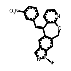 CC(C)n1ncc2cc3c(cc21)COc1ncccc1/C3=C\c1cccc([N+](=O)[O-])c1